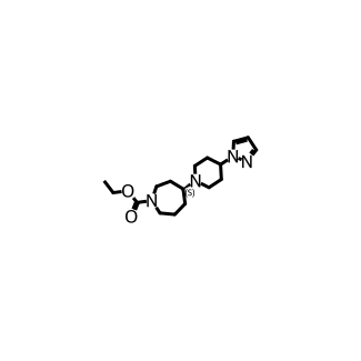 CCOC(=O)N1CCC[C@H](N2CCC(n3cccn3)CC2)CC1